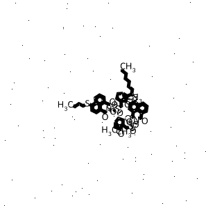 CCCCCCCC(Sc1ccc2c3c(cccc13)C(=O)N(OS(=O)(=O)CC13CCC(CC1=O)C3(C)C)C2=O)C1C(=O)C2(CS(=O)(=O)ON3C(=O)c4cccc5c(SCCCC)ccc(c45)C3=O)CCC1C2(C)C